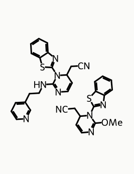 COC1=NC=CC(CC#N)N1c1nc2ccccc2s1.N#CCC1C=CN=C(NCCc2cccnc2)N1c1nc2ccccc2s1